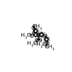 CCOC(=O)Cc1c(C(=O)OCC)c2cc(Oc3ccc(OC(C)C)cc3)ccc2n1-c1ccc(OC)cc1